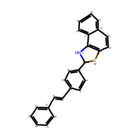 C(=Cc1ccc(C2Nc3c(ccc4ccccc34)S2)cc1)c1ccccc1